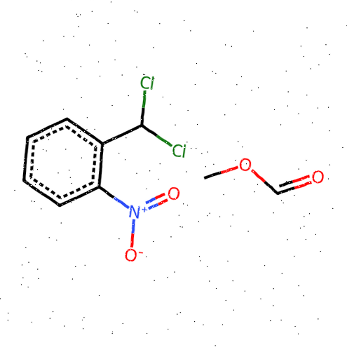 COC=O.O=[N+]([O-])c1ccccc1C(Cl)Cl